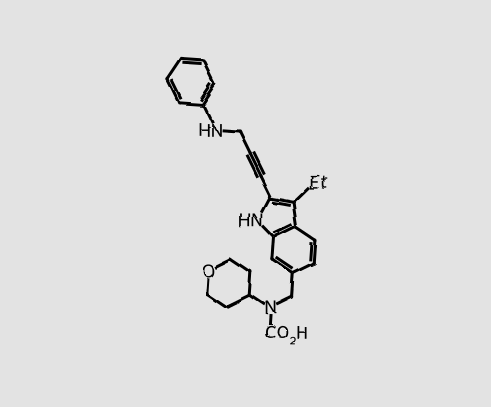 CCc1c(C#CCNc2ccccc2)[nH]c2cc(CN(C(=O)O)C3CCOCC3)ccc12